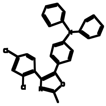 Cc1nc(-c2ccc(Cl)cc2Cl)c(-c2ccc(N(c3ccccc3)c3ccccc3)cc2)o1